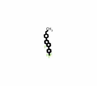 CCCC1CCC(c2ccc3c(F)c(-c4ccc(C(F)(F)F)cc4)ccc3c2)CC1